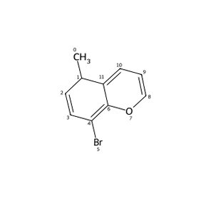 CC1C=CC(Br)=C2OC=CC=C21